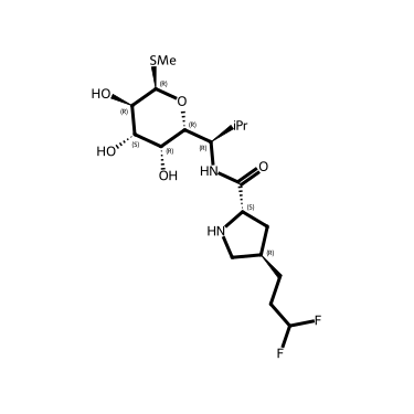 CS[C@H]1O[C@H]([C@H](NC(=O)[C@@H]2C[C@@H](CCC(F)F)CN2)C(C)C)[C@H](O)[C@H](O)[C@H]1O